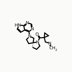 C=NCC1(C(=O)N2CCC[C@@]23CCN(c2ncnc4[nH]ccc24)C3)CC1